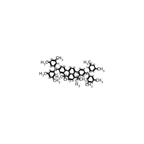 CC1=CC(N(c2cc(C)cc(C)c2)c2ccc3c(c2)C(C)(C)c2ccc4c5c(ccc-3c25)-c2ccc(N(c3cc(C)cc(C)c3)c3cc(C)cc(C)c3)cc2C4(C)C)=CC(C)C1